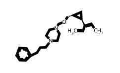 C=C/C(=C\C)[C@@H]1C[C@H]1COCN1CCN(CCCc2ccccc2)CC1